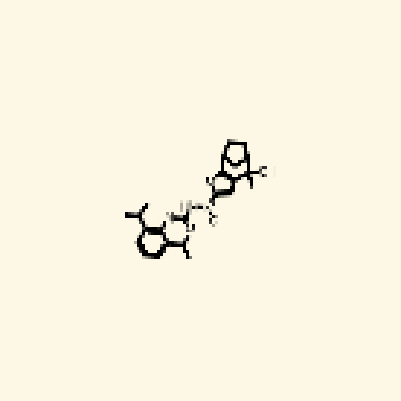 CC(C)c1cccc(C(C)C)c1NC(=O)N[S+]([O-])c1cc2c(o1)C1CCC(C1)C2(C)O